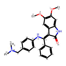 CCOc1cc2c(cc1OCC)C(=C(Nc1ccc(CN(C)C(C)C)cc1)c1ccccc1)C(=O)N2